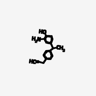 C#CCc1ccc(C(C)c2ccc(O)c(N)c2)cc1